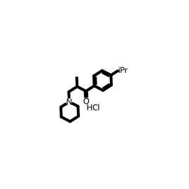 CC(CN1CCCCC1)C(=O)c1ccc(C(C)C)cc1.Cl